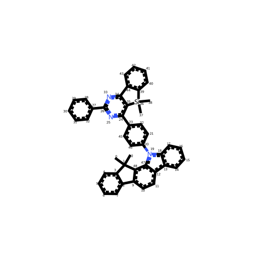 CC1(C)c2ccccc2-c2ccc3c4ccccc4n(-c4ccc(-c5nc(-c6ccccc6)nc6c5[Si](C)(C)c5ccccc5-6)cc4)c3c21